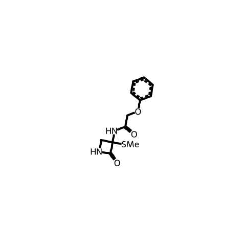 CSC1(NC(=O)COc2ccccc2)CNC1=O